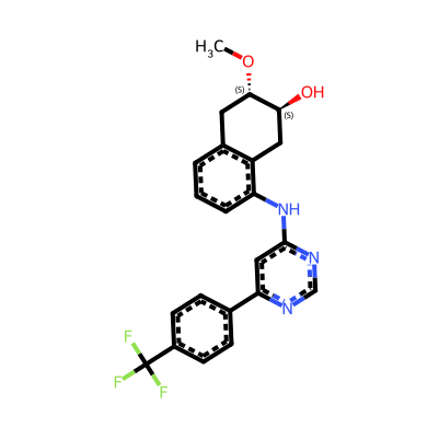 CO[C@H]1Cc2cccc(Nc3cc(-c4ccc(C(F)(F)F)cc4)ncn3)c2C[C@@H]1O